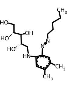 CCCCCN=Nc1cc(C)c(C)cc1NC[C@H](O)[C@H](O)[C@H](O)CO